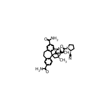 Cc1nnc(C2(C[C@H](C)NCC(=O)N3CCC[C@H]3C#N)c3ccc(C(N)=O)cc3CCc3cc(C(N)=O)ccc32)o1